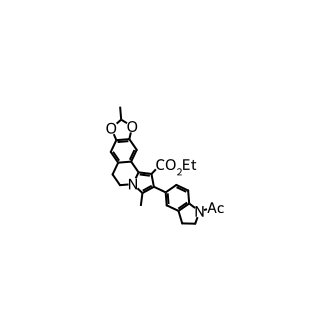 CCOC(=O)c1c(-c2ccc3c(c2)CCN3C(C)=O)c(C)n2c1-c1cc3c(cc1CC2)OC(C)O3